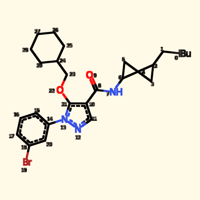 CCC(C)CC1CC12CC2NC(=O)c1cnn(-c2cccc(Br)c2)c1OCC1CCCCC1